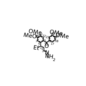 CCC(CC=NN)c1cc(OC)c(OC)cc1C(=O)c1ccc(OC)c(OC)c1